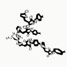 CCN(CC)c1ncc(C=C2C(=O)NN(c3ccc(I)cc3)C2=O)s1.Cn1ccnc1C=C1C(=O)NN(c2ccc(I)cc2)C1=O.O=C1NN(c2ccc(I)cc2)C(=O)C1=Cc1ccc(Cl)s1.O=C1NN(c2ccc(I)cc2)C(=O)C1=Cc1nccs1